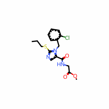 CCCSc1ncc(C(=O)NCC(=O)OC)n1Cc1ccccc1Cl